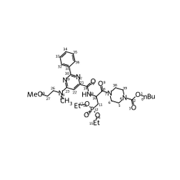 CCCCOC(=O)N1CCN(C(=O)C(CP(=O)(OCC)OCC)NC(=O)c2cc(N(C)CCOC)nc(-c3ccccc3)n2)CC1